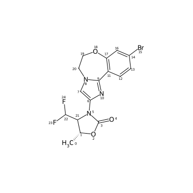 C[C@H]1OC(=O)N(c2cn3c(n2)-c2ccc(Br)cc2OCC3)C1C(F)F